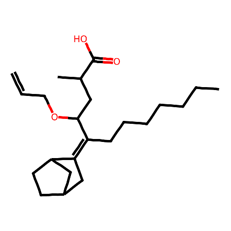 C=CCOC(CC(C)C(=O)O)C(CCCCCCC)=C1CC2CCC1C2